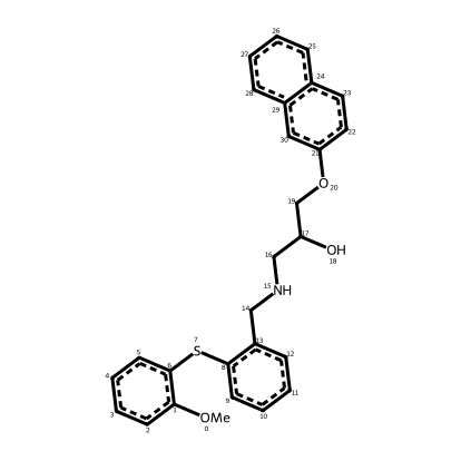 COc1ccccc1Sc1ccccc1CNCC(O)COc1ccc2ccccc2c1